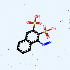 [N]=Nc1c(S(=O)(=O)O)c(S(=O)(=O)O)cc2ccccc12